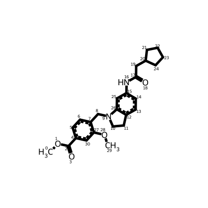 COC(=O)c1ccc(CN2CCc3ccc(NC(=O)CC4CCCC4)cc32)c(OC)c1